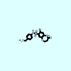 CCc1ccc(NS(=O)(=O)c2cc3c(cc2Br)NC(=O)CCO3)cc1